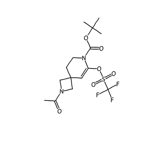 CC(=O)N1CC2(C=C(OS(=O)(=O)C(F)(F)F)N(C(=O)OC(C)(C)C)CC2)C1